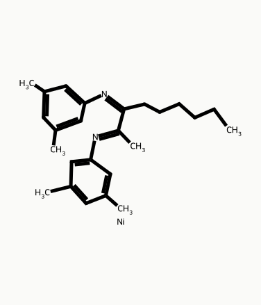 CCCCCCC(=Nc1cc(C)cc(C)c1)C(C)=Nc1cc(C)cc(C)c1.[Ni]